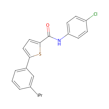 CC(C)c1cccc(-c2ccc(C(=O)Nc3ccc(Cl)cc3)s2)c1